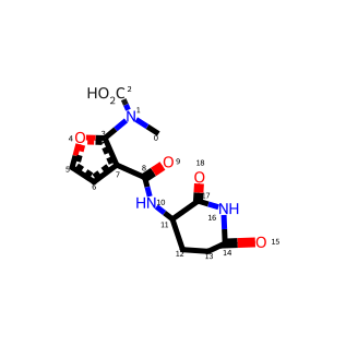 CN(C(=O)O)c1occc1C(=O)NC1CCC(=O)NC1=O